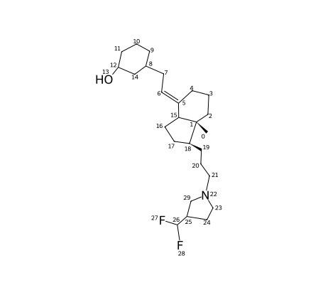 C[C@]12CCC/C(=C\CC3CCCC(O)C3)C1CC[C@@H]2CCCN1CCC(C(F)F)C1